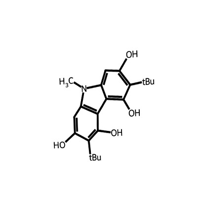 Cn1c2cc(O)c(C(C)(C)C)c(O)c2c2c(O)c(C(C)(C)C)c(O)cc21